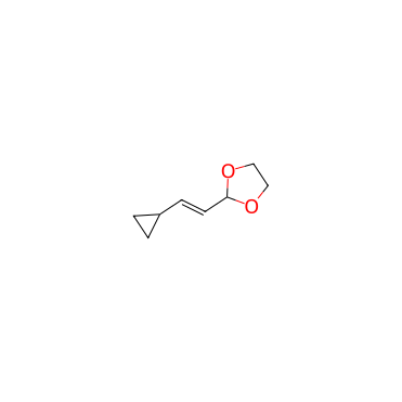 C(=CC1OCCO1)C1CC1